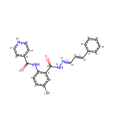 O=C(Nc1ccc(Br)cc1C(=O)N/N=C/C=C/c1ccccc1)c1ccncc1